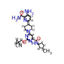 C[C@@H]1CC[C@H](NC(=O)c2cc(N3CCC(c4ccc(N)c(C(N)=O)n4)CC3)nc(OCC3(C#N)CC3)n2)C1